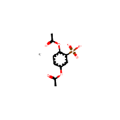 CC(=O)Oc1ccc(OC(C)=O)c(S(=O)(=O)[O-])c1.[K+]